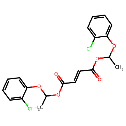 CC(OC(=O)C=CC(=O)OC(C)Oc1ccccc1Cl)Oc1ccccc1Cl